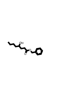 CCCCC(O)CCC(=O)OCc1ccccc1